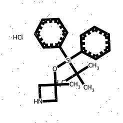 CC1(O[Si](c2ccccc2)(c2ccccc2)C(C)(C)C)CNC1.Cl